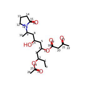 CCC(CC(CC(O)CC(C)N1CCCC1=O)OC(=O)CC(C)=O)OC(C)=O